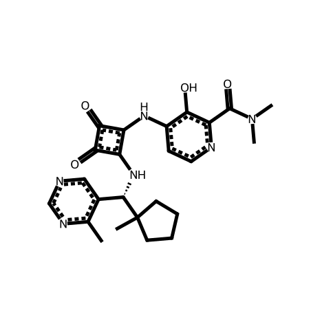 Cc1ncncc1[C@H](Nc1c(Nc2ccnc(C(=O)N(C)C)c2O)c(=O)c1=O)C1(C)CCCC1